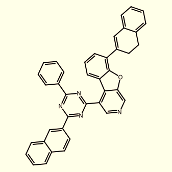 C1=C(c2cccc3c2oc2cncc(-c4nc(-c5ccccc5)nc(-c5ccc6ccccc6c5)n4)c23)CCc2ccccc21